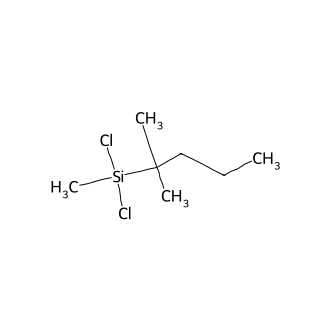 CCCC(C)(C)[Si](C)(Cl)Cl